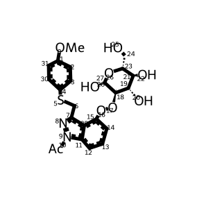 COc1ccc(SCc2nn(C(C)=O)c3cccc(OO[C@@H]4[C@@H](O)[C@H](O)[C@@H](CO)O[C@H]4O)c23)cc1